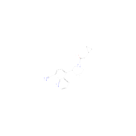 C[C@@H]1CC(c2ccc(C#N)c3ncccc23)CN(C(=O)CC2CC2)C1